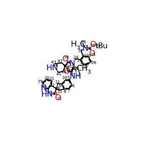 C[C@H](C(=O)Nc1ccc2c(c1)C[C@@]1(C2)C(=O)Nc2ncccc21)N(Cc1ccccc1CN(C)C(=O)OC(C)(C)C)C(=O)C1(C)CCNCC1